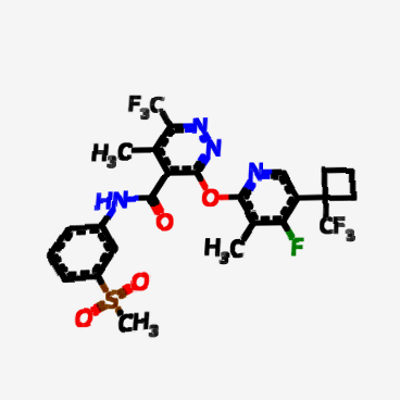 Cc1c(Oc2nnc(C(F)(F)F)c(C)c2C(=O)Nc2cccc(S(C)(=O)=O)c2)ncc(C2(C(F)(F)F)CCC2)c1F